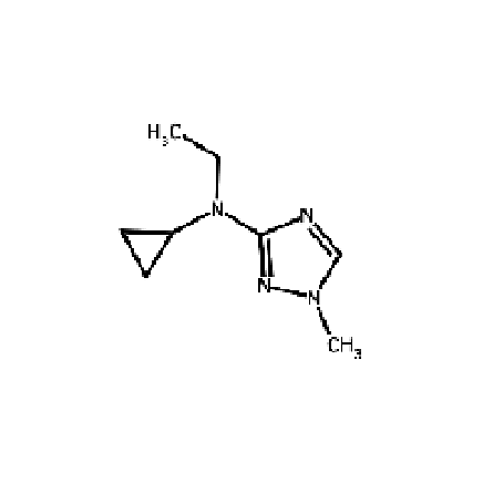 CCN(c1ncn(C)n1)C1CC1